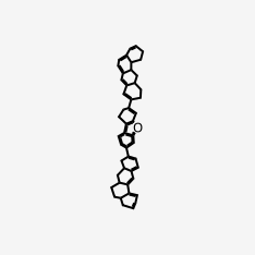 C1=CCC2CCC3CC4CC(c5ccc6c7c(oc6c5)C=C(C5=CC6=CC8=CC=C9C=CCCC9C8CC6CC5)CC7)=CC=C4C=C3C2=C1